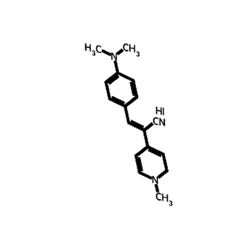 CN1C=CC(C(C#N)=Cc2ccc(N(C)C)cc2)=CC1.I